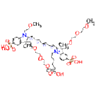 COCCOCCOCCC1(C)C(/C=C/C=C/C=C/C=C2/N(CCOC)c3ccc(S(=O)(=O)O)cc3C2(C)CCOCCOCCOC)=[N+](CCCCCC(=O)O)c2ccc(S(=O)(=O)O)cc21